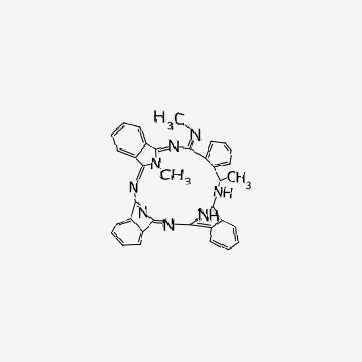 C/N=C1\N=c2\c3ccccc3/c(n2C)=N/C2=NC(=N\c3[nH]c(c4ccccc34)NC(C)c3ccccc31)/c1ccccc12